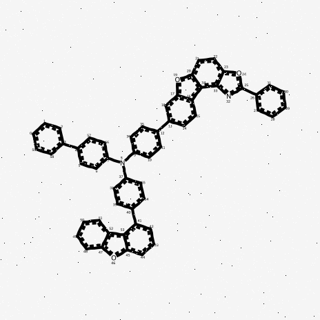 c1ccc(-c2ccc(N(c3ccc(-c4ccc5c(c4)oc4ccc6oc(-c7ccccc7)nc6c45)cc3)c3ccc(-c4cccc5oc6ccccc6c45)cc3)cc2)cc1